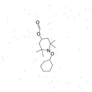 CC1(C)CC(OC=O)CC(C)(C)N1OC1CCCCC1